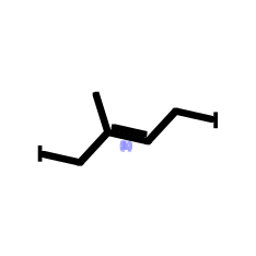 C/C(=C\CI)CI